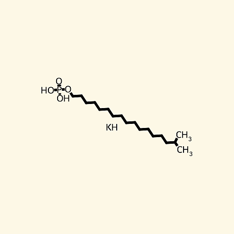 CC(C)CCCCCCCCCCCCCCCOP(=O)(O)O.[KH]